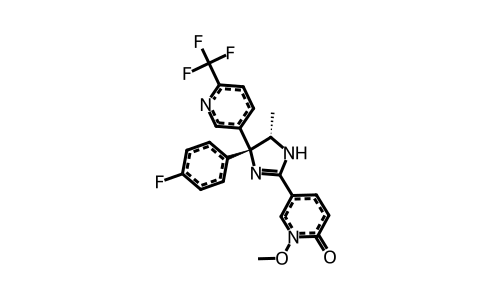 COn1cc(C2=N[C@](c3ccc(F)cc3)(c3ccc(C(F)(F)F)nc3)[C@H](C)N2)ccc1=O